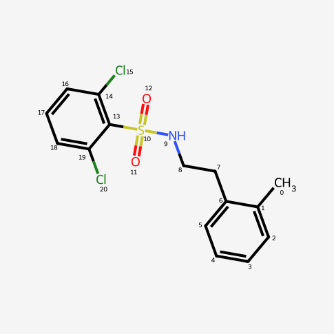 Cc1ccccc1CCNS(=O)(=O)c1c(Cl)cccc1Cl